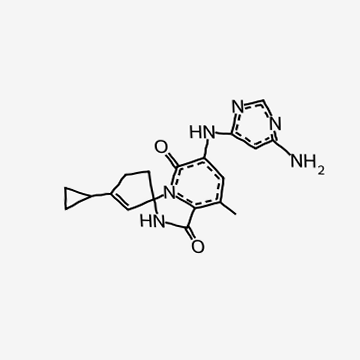 Cc1cc(Nc2cc(N)ncn2)c(=O)n2c1C(=O)NC21C=C(C2CC2)CC1